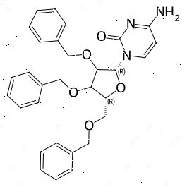 Nc1ccn([C@@H]2O[C@H](COCc3ccccc3)C(OCc3ccccc3)C2OCc2ccccc2)c(=O)n1